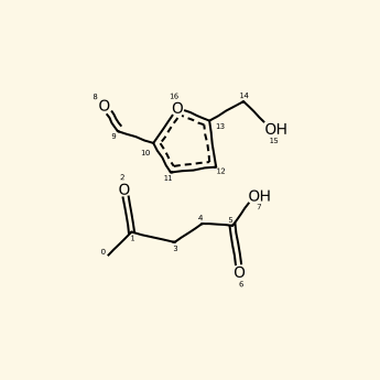 CC(=O)CCC(=O)O.O=Cc1ccc(CO)o1